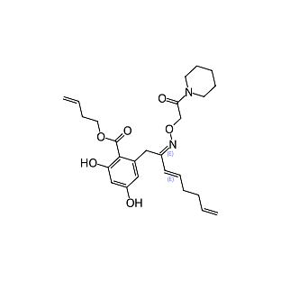 C=CCC/C=C/C(Cc1cc(O)cc(O)c1C(=O)OCCC=C)=N/OCC(=O)N1CCCCC1